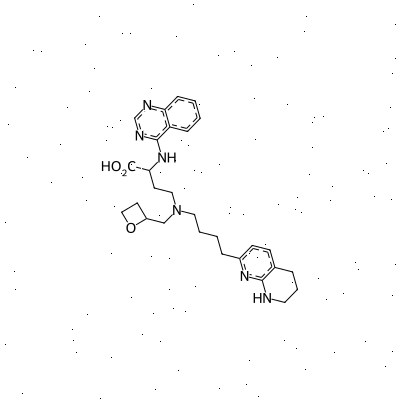 O=C(O)C(CCN(CCCCc1ccc2c(n1)NCCC2)CC1CCO1)Nc1ncnc2ccccc12